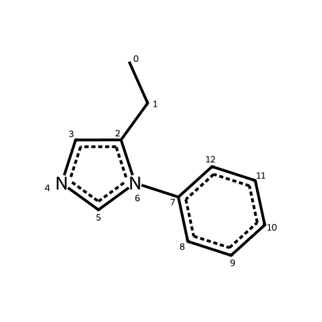 CCc1cncn1-c1ccccc1